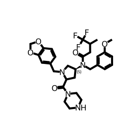 COc1cccc(CN(C(=O)CC(C)C(F)(F)F)[C@H]2CC(C(=O)N3CCNCC3)N(Cc3ccc4c(c3)OCO4)C2)c1